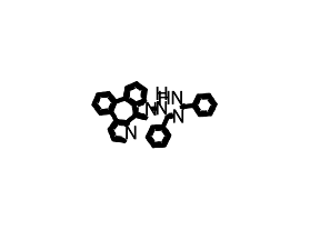 N=C(/N=C(\Nn1cc2c3c(cccc31)-c1ccccc1-c1cccnc1-2)c1ccccc1)c1ccccc1